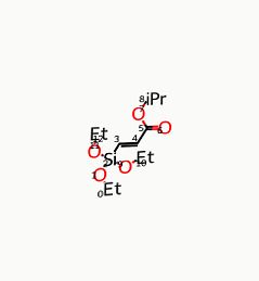 CCO[Si](C=CC(=O)OC(C)C)(OCC)OCC